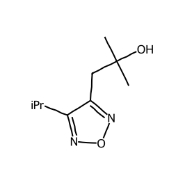 CC(C)c1nonc1CC(C)(C)O